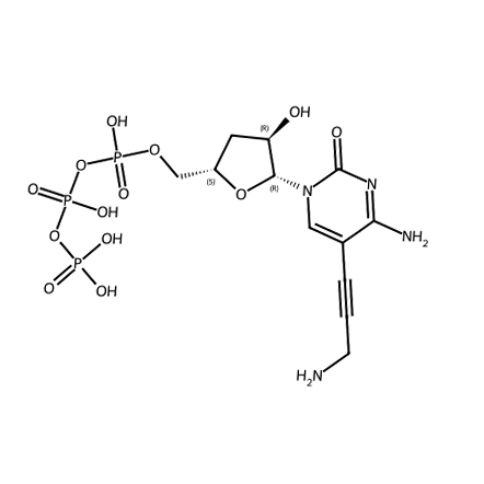 NCC#Cc1cn([C@@H]2O[C@H](COP(=O)(O)OP(=O)(O)OP(=O)(O)O)C[C@H]2O)c(=O)nc1N